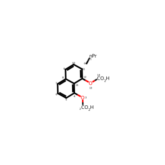 CCCC.O=C(O)Oc1cccc2cccc(OC(=O)O)c12